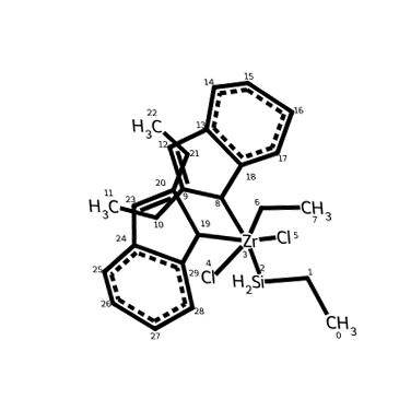 CC[SiH2][Zr]([Cl])([Cl])([CH2]C)([CH]1C(CC)=Cc2ccccc21)[CH]1C(CC)=Cc2ccccc21